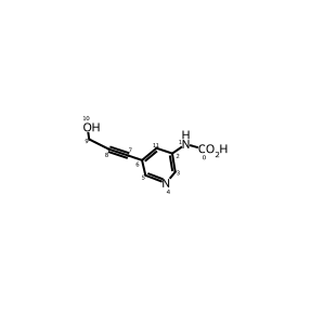 O=C(O)Nc1cncc(C#CCO)c1